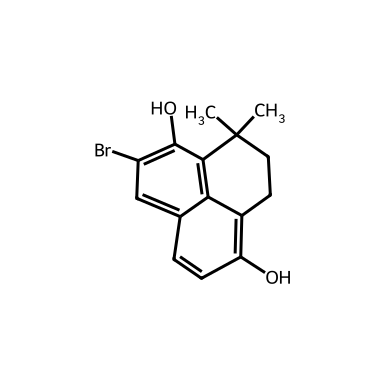 CC1(C)CCc2c(O)ccc3cc(Br)c(O)c1c23